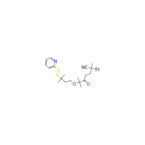 CCC(C)(C#N)CCC(=O)C(C)(C)OCCC(C)(C)SSc1ccccn1